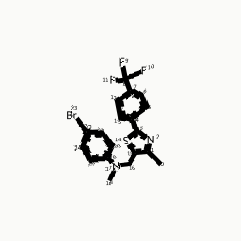 Cc1nc(-c2ccc(C(F)(F)F)cc2)sc1CN(C)c1ccc(Br)cc1